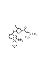 CN(C)/C=C/C(=O)c1ccc(Sc2cccc(C3(C(N)=O)CCOCC3)c2)c(F)c1